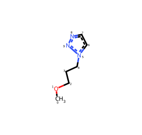 COCCCn1ccnn1